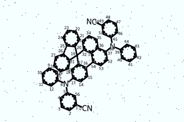 N#Cc1cccc(N(c2ccccc2)c2ccc3c(c2)C2(c4ccccc4-c4ccccc42)c2cccc4c(N(c5ccccc5)c5cccc(C#N)c5)ccc-3c24)c1